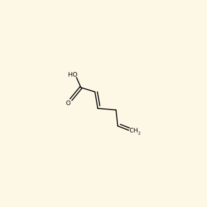 C=CCC=CC(=O)O